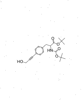 CC(C)(C)OC(=O)NC(Cc1ccc(C#CCO)cc1)C(=O)OC(C)(C)C